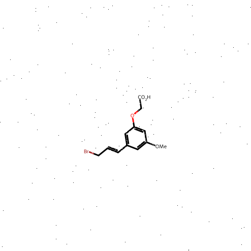 COc1cc(/C=C/CBr)cc(OCC(=O)O)c1